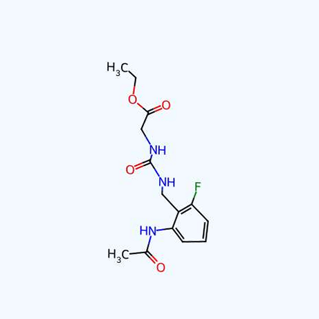 CCOC(=O)CNC(=O)NCc1c(F)cccc1NC(C)=O